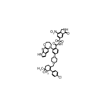 CC1(C)CCC(CN2CCN(c3ccc(C(=O)NS(=O)(=O)c4cc5c(c([N+](=O)[O-])c4)CNC5=O)c(N4CCCOc5nc6[nH]ccc6cc54)c3)CC2)=C(c2ccc(Cl)cc2)C1